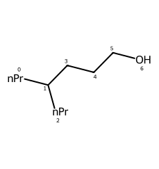 CCCC(CCC)CCCO